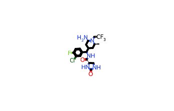 C[C@H]1CC(C(NC(=O)[C@@H]2CNC(=O)N2)c2ccc(F)c(Cl)c2)C[C@@H](N)N1CC(F)(F)F